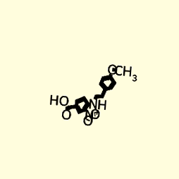 COc1ccc(CCNc2ccc(C(=O)O)cc2[N+](=O)[O-])cc1